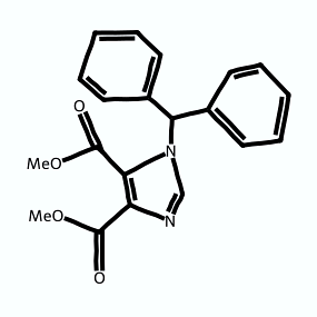 COC(=O)c1ncn(C(c2ccccc2)c2ccccc2)c1C(=O)OC